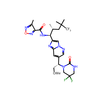 COC[C@H](c1cnn2cc([C@@H](NC(=O)c3nonc3C)[C@H](C)CC(C)(C)C(F)(F)F)nc2c1)N1CC(F)(F)CNC1=O